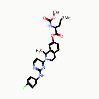 CSCCC(NC(=O)OC(C)(C)C)C(=O)Oc1ccc2c(c1)C(C)N(c1ccnc(Nc3ccc(F)cc3)n1)CC2